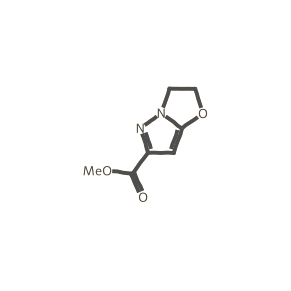 COC(=O)c1cc2n(n1)CCO2